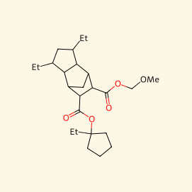 CCC1CC(CC)C2C3CC(C(C(=O)OCOC)C3C(=O)OC3(CC)CCCC3)C12